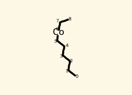 CCCCC[CH2][Co][CH2]C